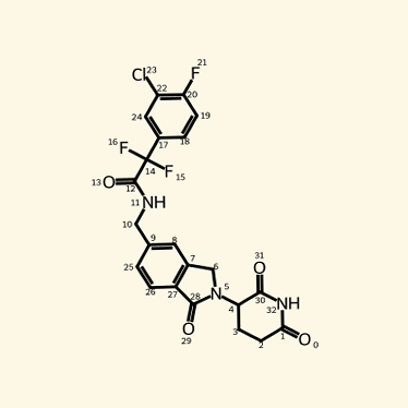 O=C1CCC(N2Cc3cc(CNC(=O)C(F)(F)c4ccc(F)c(Cl)c4)ccc3C2=O)C(=O)N1